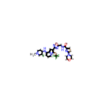 CN1CC[C@@H](Nc2cccn3c(SC(F)(F)F)c(-c4noc(CNC(=O)c5csc(N6CCOCC6)n5)n4)cc23)[C@@H](F)C1